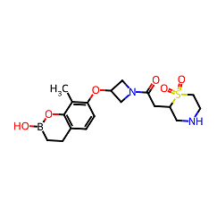 Cc1c(OC2CN(C(=O)CC3CNCCS3(=O)=O)C2)ccc2c1OB(O)CC2